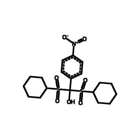 O=[N+]([O-])c1ccc(C(O)(S(=O)(=O)C2CCCCC2)S(=O)(=O)C2CCCCC2)cc1